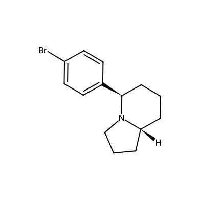 Brc1ccc([C@H]2CCC[C@@H]3CCCN32)cc1